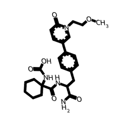 COCCn1cc(-c2ccc(CC(NC(=O)C3(NC(=O)O)CCCCC3)C(N)=O)cc2)ccc1=O